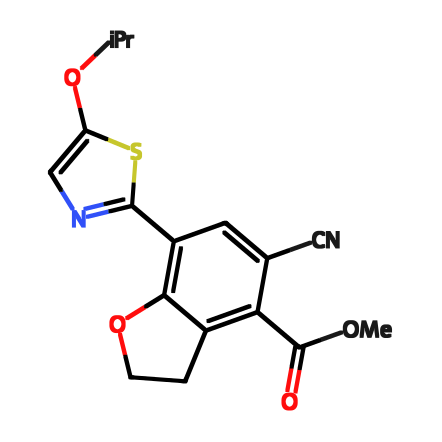 COC(=O)c1c(C#N)cc(-c2ncc(OC(C)C)s2)c2c1CCO2